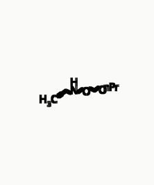 CC#CCCNCCOCCCOCCC